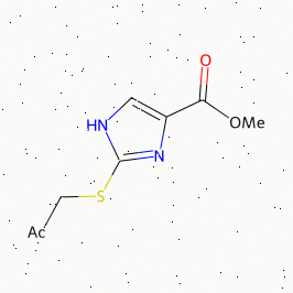 COC(=O)c1c[nH]c(SCC(C)=O)n1